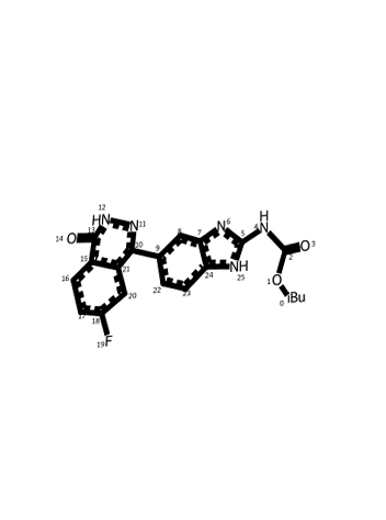 CCC(C)OC(=O)Nc1nc2cc(-c3n[nH]c(=O)c4ccc(F)cc34)ccc2[nH]1